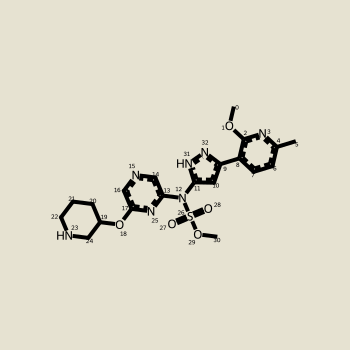 COc1nc(C)ccc1-c1cc(N(c2cncc(OC3CCCNC3)n2)S(=O)(=O)OC)[nH]n1